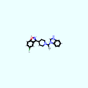 CC(=O)C(N1CCC(c2noc3ccc(F)cc23)CC1)N1CNc2ccccc21